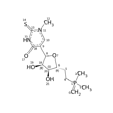 C=P(C)(C)CC[C@H]1OC(c2cn(C)c(=S)[nH]c2=O)[C@H](O)[C@@H]1O